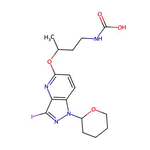 CC(CCNC(=O)O)Oc1ccc2c(n1)c(I)nn2C1CCCCO1